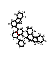 c1ccc(-c2ccccc2N(c2ccc(-c3cccc4c3oc3ccccc34)cc2)c2cc3sc4ccccc4c3c3ccccc23)cc1